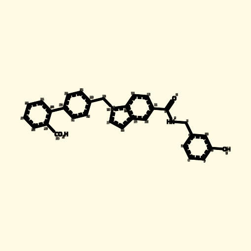 O=C(NCc1cccc(O)c1)c1ccc2c(ccn2Cc2ccc(-c3ccccc3C(=O)O)cc2)c1